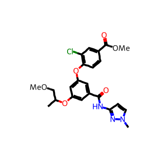 COCC(C)Oc1cc(Oc2ccc(C(=O)OC)cc2Cl)cc(C(=O)Nc2ccn(C)n2)c1